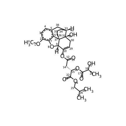 COc1ccc2c3c1O[C@H]1C(OC(=O)C[C@H](OC(=O)[C@H](C)O)C(=O)OCC(C)C)=CC[C@@]4(O)[C@H](CCC[C@]314)C2